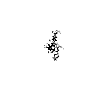 C=CC(=O)N1CC2(CC(n3nc(N4CC[C@@H](CN5CCS(=O)(=O)CC5)CC4(C)C)c(-c4c(Cl)c(Cl)cc5[nH]ncc45)c3C)C2)C1